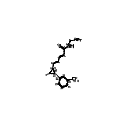 CC(C)CNC(=O)C=CC=C[C@@H]1C[C@H]1c1cccc(C(F)(F)F)c1